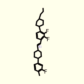 CCCC1CCC(c2ccc(/C=C/C3CCC(c4ccc(C)c(F)c4)CC3)c(F)c2F)CC1